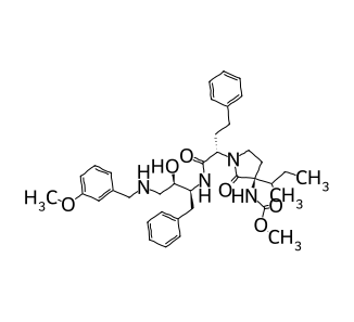 CCC(C)[C@@]1(NC(=O)OC)CCN([C@@H](CCc2ccccc2)C(=O)N[C@@H](Cc2ccccc2)[C@H](O)CNCc2cccc(OC)c2)C1=O